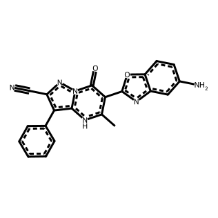 Cc1[nH]c2c(-c3ccccc3)c(C#N)nn2c(=O)c1-c1nc2cc(N)ccc2o1